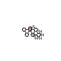 [2H]c1c([2H])c([2H])c(-c2ccc3sc4ccccc4c3c2-c2ccccc2-c2cccc3c4ccccc4c4ccccc4c23)c([2H])c1[2H]